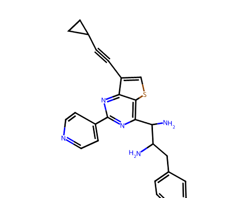 NC(Cc1ccccc1)C(N)c1nc(-c2ccncc2)nc2c(C#CC3CC3)csc12